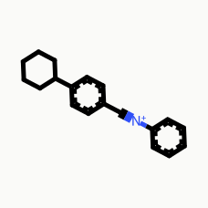 C(#[N+]c1ccccc1)c1ccc(C2CCCCC2)cc1